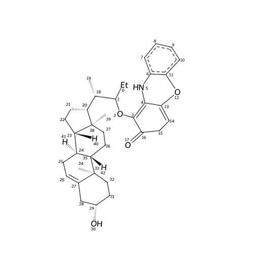 CCC(OC1=C2Nc3ccccc3OC2=CCC1=O)[C@@H](C)[C@H]1CC[C@H]2[C@@H]3CC=C4C[C@@H](O)CC[C@]4(C)[C@H]3CC[C@]12C